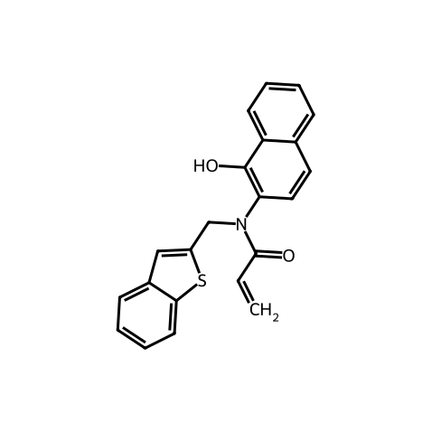 C=CC(=O)N(Cc1cc2ccccc2s1)c1ccc2ccccc2c1O